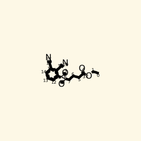 CCOC(=O)CCCS(=O)(=O)c1cccc(C#N)c1C#N